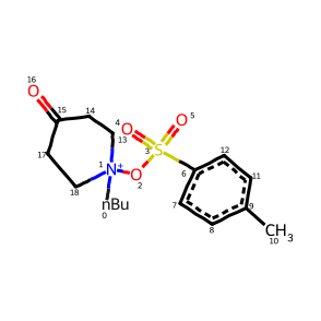 CCCC[N+]1(OS(=O)(=O)c2ccc(C)cc2)CCC(=O)CC1